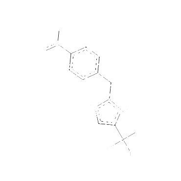 O=[N+]([O-])c1ccc(Cc2nc(C(F)(F)F)cs2)cc1